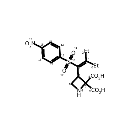 CCC(CC)=C(C1CNC1(C(=O)O)C(=O)O)S(=O)(=O)c1ccc([N+](=O)[O-])cc1